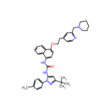 Cc1ccc(-n2nc(C(C)(C)C)cc2NC(=O)Nc2ccc(OCCc3ccnc(CN4CCCCC4)c3)c3ccccc23)cc1